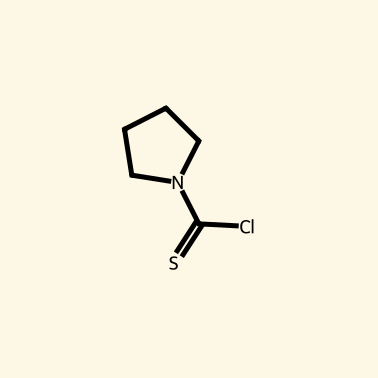 S=C(Cl)N1CCCC1